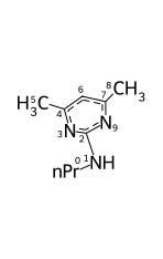 CCCNc1nc(C)cc(C)n1